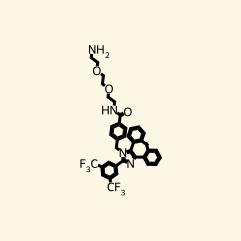 Cc1ccccc1-c1nc(-c2cc(C(F)(F)F)cc(C(F)(F)F)c2)n(Cc2ccc(C(=O)NCCOCCOCCN)cc2)c1-c1ccccc1C